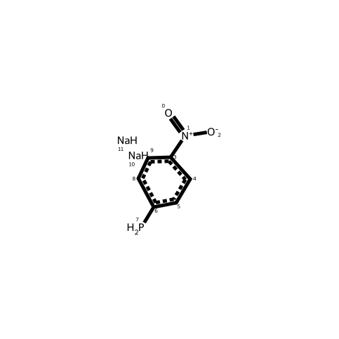 O=[N+]([O-])c1ccc(P)cc1.[NaH].[NaH]